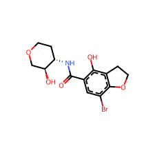 O=C(N[C@H]1CCOC[C@@H]1O)c1cc(Br)c2c(c1O)CCO2